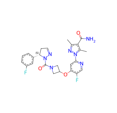 Cc1nn(-c2cc(OC3CN(C(=O)N4N=CC[C@H]4c4cccc(F)c4)C3)c(F)cn2)c(C)c1C(N)=O